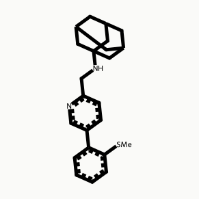 CSc1ccccc1-c1ccc(CNC23CC4CC(CC(C4)C2)C3)nc1